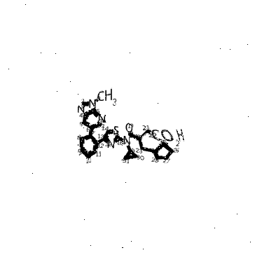 Cn1cnc2cc(-c3ccccc3-c3csc(N(C(=O)[C@@H](CC(=O)O)CC4CCCC4)C4CC4)n3)cnc21